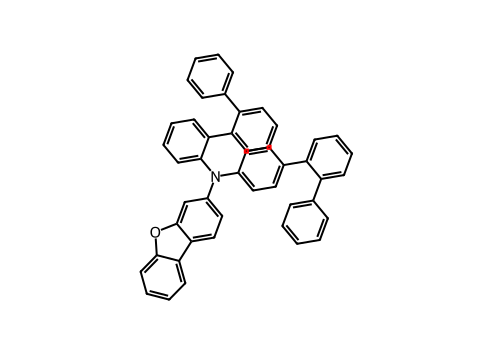 c1ccc(-c2ccccc2-c2ccc(N(c3ccc4c(c3)oc3ccccc34)c3ccccc3-c3ccccc3-c3ccccc3)cc2)cc1